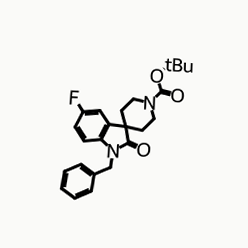 CC(C)(C)OC(=O)N1CCC2(CC1)C(=O)N(Cc1ccccc1)c1ccc(F)cc12